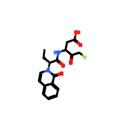 CC[C@@H](C(=O)NC(CC(=O)O)C(=O)CF)n1ccc2ccccc2c1=O